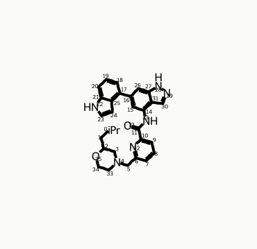 CC(C)CC1CN(Cc2cccc(C(=O)Nc3cc(-c4cccc5[nH]ccc45)cc4[nH]ncc34)n2)CCO1